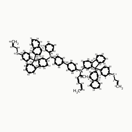 C=CCSc1ccc(C2(c3ccc4ccccc4c3)c3ccccc3-c3ccc(N(C(=C)/C=C\C=C/C)c4ccc(-c5ccc(N(c6ccccc6)c6ccc7c(c6)C(c6ccc(SCC=C)cc6)(c6ccc8ccccc8c6)c6ccccc6-7)cc5)cc4)cc32)cc1